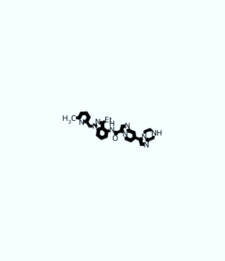 CCc1nn(Cc2cccc(C)n2)c2cccc(NC(=O)c3cnc4cc(-c5cnc6n5CCNC6)ccn34)c12